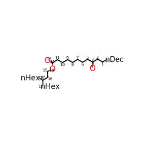 CCCCCCCCCCCCC(=O)CCCCCCCC(=O)OCCC(CCCCCC)CCCCCC